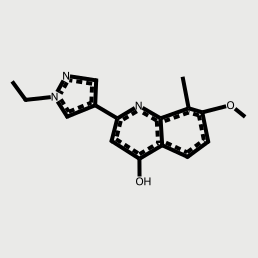 CCn1cc(-c2cc(O)c3ccc(OC)c(C)c3n2)cn1